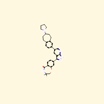 CC1(C)COc2cc(-c3n[nH]c4ncc(-c5ccc6c(c5)CCC(N5CCCC5)CC6)cc34)ccc2C(=O)N1